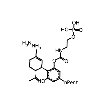 C=C(C)[C@@H]1CCC(C)=C[C@H]1c1c(O)cc(CCCCC)cc1OC(=O)NCCOP(=O)(O)O.N.N